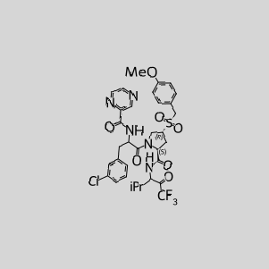 COc1ccc(CS(=O)(=O)[C@@H]2C[C@@H](C(=O)NC(C(=O)C(F)(F)F)C(C)C)N(C(=O)C(Cc3cccc(Cl)c3)NC(=O)c3cnccn3)C2)cc1